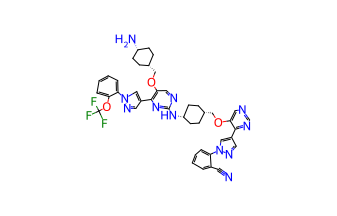 N#Cc1ccccc1-n1cc(-c2ncncc2OC[C@H]2CC[C@@H](Nc3ncc(OC[C@H]4CC[C@@H](N)CC4)c(-c4cnn(-c5ccccc5OC(F)(F)F)c4)n3)CC2)cn1